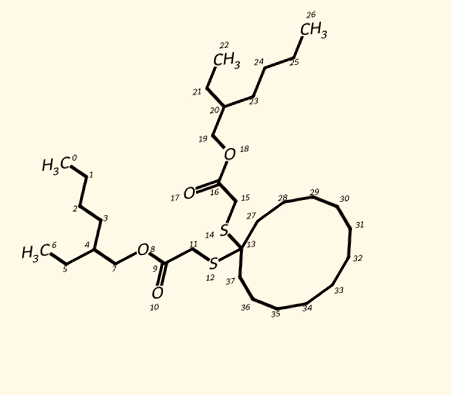 CCCCC(CC)COC(=O)CSC1(SCC(=O)OCC(CC)CCCC)CCCCCCCCCCC1